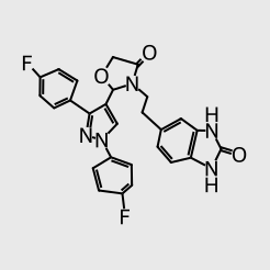 O=C1COC(c2cn(-c3ccc(F)cc3)nc2-c2ccc(F)cc2)N1CCc1ccc2[nH]c(=O)[nH]c2c1